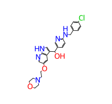 OC(c1ccc(NCc2ccc(Cl)cc2)nc1)c1c[nH]c2ncc(OCCN3CCOCC3)cc12